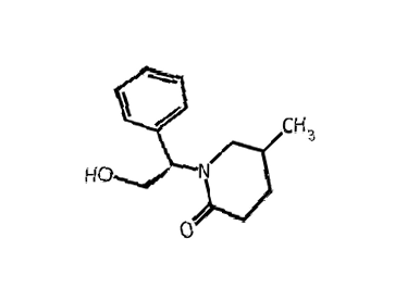 CC1CCC(=O)N([C@@H](CO)c2ccccc2)C1